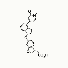 Cn1ccc(-c2cccc3c2CC[C@H]3Oc2ccc3c(c2)OCC3CC(=O)O)cc1=O